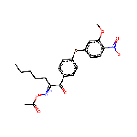 CCCCC/C(=N\OC(C)=O)C(=O)c1ccc(Sc2ccc([N+](=O)[O-])c(OC)c2)cc1